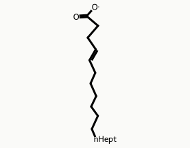 CCCCCCCCCCCCCC=CCCC([O])=O